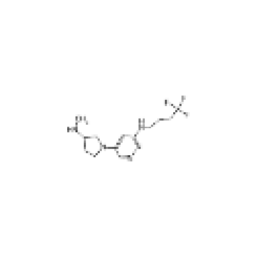 CNC1CCN(c2cnnc(NCCCC(F)(F)F)c2)C1